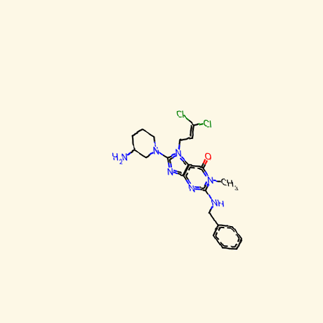 Cn1c(NCc2ccccc2)nc2nc(N3CCCC(N)C3)n(CC=C(Cl)Cl)c2c1=O